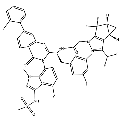 Cc1ccccc1-c1ccc2c(=O)n(-c3ccc(Cl)c4c(NS(C)(=O)=O)nn(C)c34)c([C@H](Cc3cc(F)cc(F)c3)NC(=O)Cn3nc(C(F)F)c4c3C(F)(F)[C@@H]3C[C@H]43)nc2c1